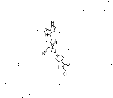 CCNC(=O)N1CCN([C@H]2C[C@](CC#N)(n3cc(-c4ncnc5[nH]ccc45)cn3)C2)CC1